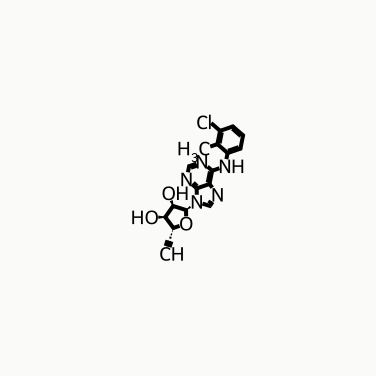 C#C[C@H]1O[C@@H](n2cnc3c(Nc4cccc(Cl)c4C)ncnc32)[C@H](O)[C@@H]1O